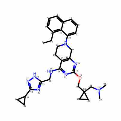 CCc1cccc2cccc(N3CCc4c(nc(OCC5(CN(C)C)CC5)nc4NCc4nc(C5CC5)n[nH]4)C3)c12